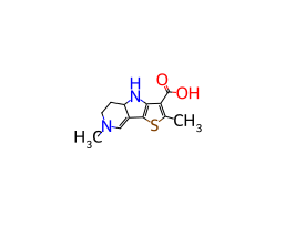 Cc1sc2c(c1C(=O)O)NC1CCN(C)C=C21